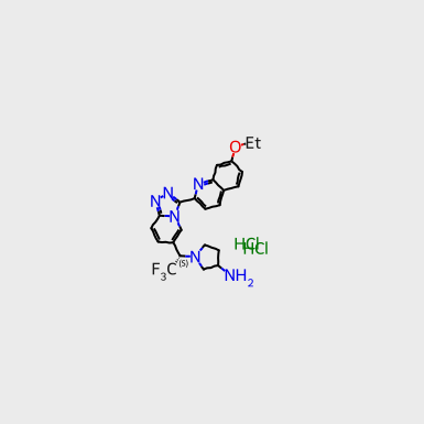 CCOc1ccc2ccc(-c3nnc4ccc([C@H](N5CCC(N)C5)C(F)(F)F)cn34)nc2c1.Cl.Cl